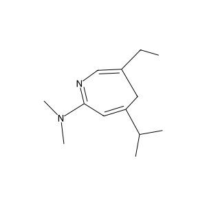 CCC1=CN=C(N(C)C)C=C(C(C)C)C1